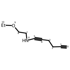 C#CCCC#CNCCOC[CH2]